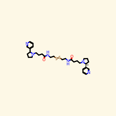 O=C(CCCN1CCCC1c1cccnc1)NCCSSCCNC(=O)CCCN1CCC[C@H]1c1cccnc1